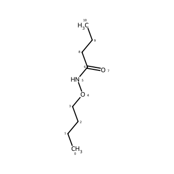 CCCCONC(=O)CCC